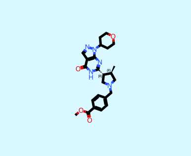 COC(=O)c1ccc(CN2C[C@H](c3nc4c(cnn4C4CCOCC4)c(=O)[nH]3)[C@@H](C)C2)cc1